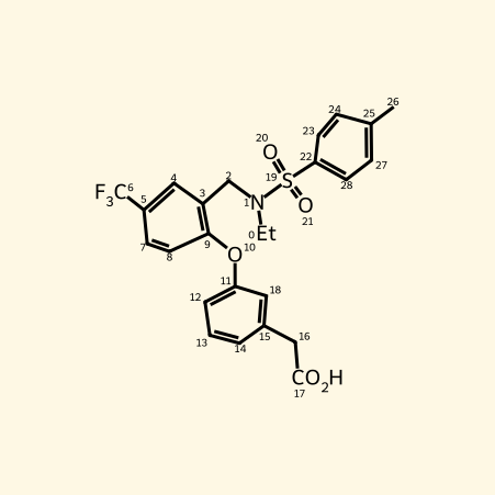 CCN(Cc1cc(C(F)(F)F)ccc1Oc1cccc(CC(=O)O)c1)S(=O)(=O)c1ccc(C)cc1